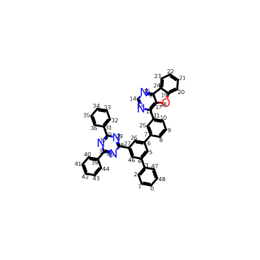 c1ccc(-c2cc(-c3cccc(-c4ncnc5c4oc4ccccc45)c3)cc(-c3nc(-c4ccccc4)nc(-c4ccccc4)n3)c2)cc1